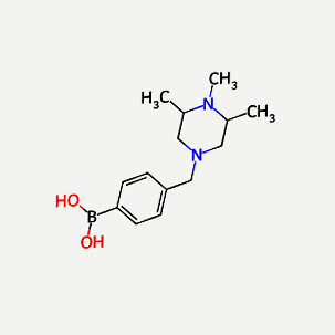 CC1CN(Cc2ccc(B(O)O)cc2)CC(C)N1C